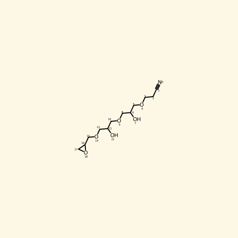 N#CCCOCC(O)COCC(O)COCC1CO1